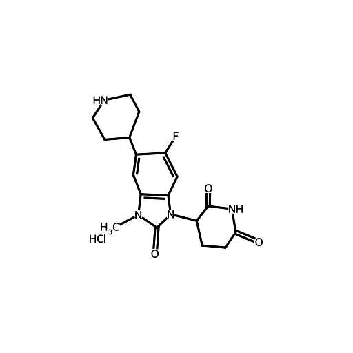 Cl.Cn1c(=O)n(C2CCC(=O)NC2=O)c2cc(F)c(C3CCNCC3)cc21